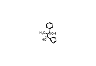 CC([C@@H](O)c1ccccc1)[C@@H](O)c1ccccc1